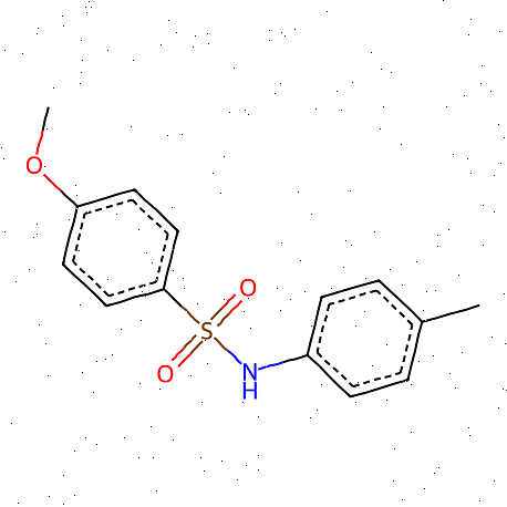 COc1ccc(S(=O)(=O)Nc2ccc(C)cc2)cc1